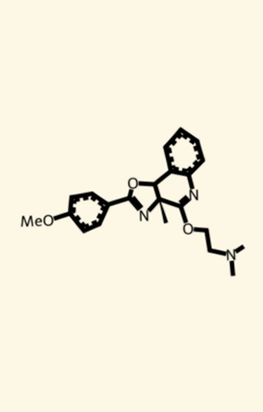 COc1ccc(C2=N[C@@]3(C)C(OCCN(C)C)=Nc4ccccc4C3O2)cc1